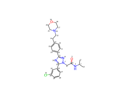 CC(C)NC(=O)Cn1nc(-c2ccc(CCN3CCOCC3)cc2)nc1-c1cccc(Cl)c1